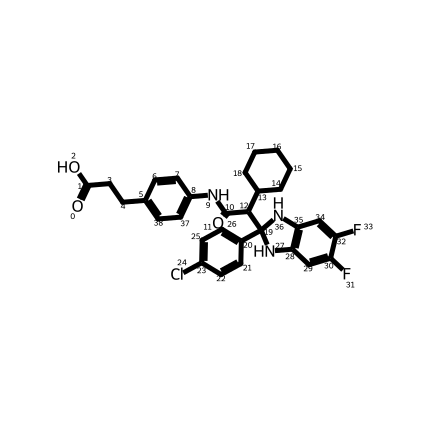 O=C(O)CCc1ccc(NC(=O)C(C2CCCCC2)C2(c3ccc(Cl)cc3)Nc3cc(F)c(F)cc3N2)cc1